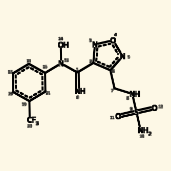 N=C(c1nonc1CNS(N)(=O)=O)N(O)c1cccc(C(F)(F)F)c1